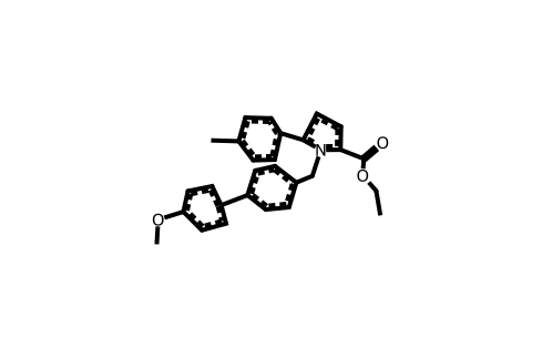 CCOC(=O)c1ccc(-c2ccc(C)cc2)n1Cc1ccc(-c2ccc(OC)cc2)cc1